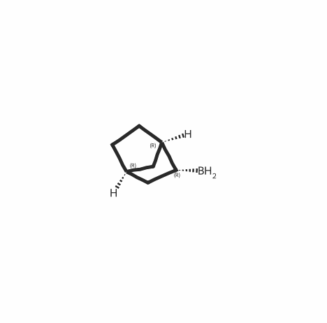 B[C@@H]1C[C@H]2CC[C@@H]1C2